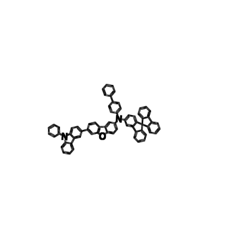 c1ccc(-c2ccc(N(c3ccc4c(c3)-c3ccccc3C43c4ccccc4-c4ccccc43)c3ccc4oc5cc(-c6ccc7c(c6)c6ccccc6n7-c6ccccc6)ccc5c4c3)cc2)cc1